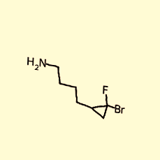 NCCCCC1CC1(F)Br